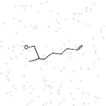 C=CCCCCC(C)C[O]